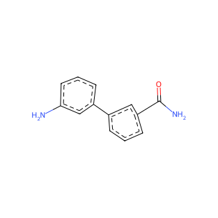 NC(=O)c1cccc(-c2cccc(N)c2)c1